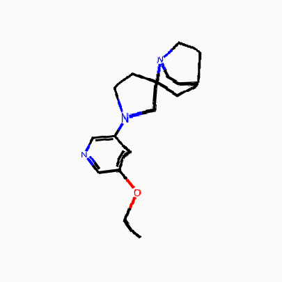 CCOc1cncc(N2CCC3(CC4CCN3CC4)C2)c1